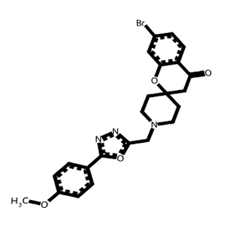 COc1ccc(-c2nnc(CN3CCC4(CC3)CC(=O)c3ccc(Br)cc3O4)o2)cc1